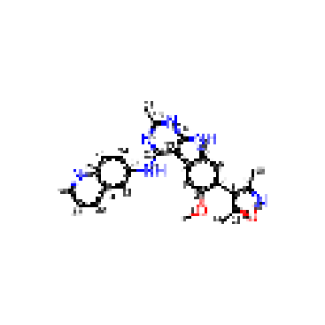 COc1cc2c(cc1-c1c(C)noc1C)[nH]c1nc(C)nc(Nc3ccc4ncccc4c3)c12